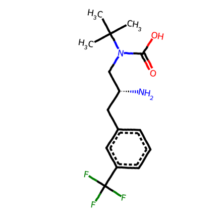 CC(C)(C)N(C[C@H](N)Cc1cccc(C(F)(F)F)c1)C(=O)O